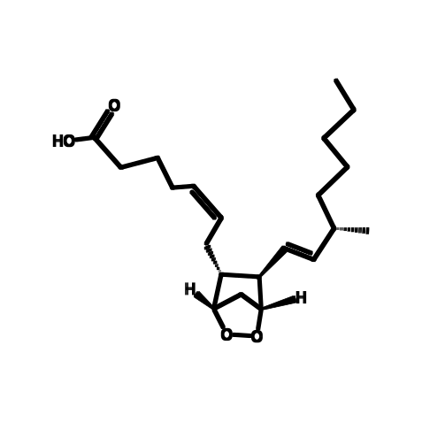 CCCCC[C@H](C)/C=C/[C@@H]1[C@@H](C/C=C\CCCC(=O)O)[C@@H]2C[C@H]1OO2